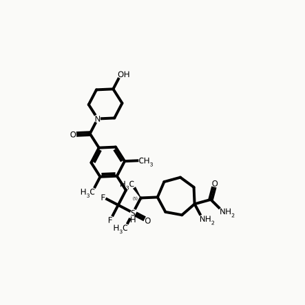 Cc1cc(C(=O)N2CCC(O)CC2)cc(C)c1CC(F)(F)[SH](C)(=O)[C@@H](C)C1CCCC(N)(C(N)=O)CC1